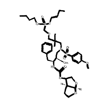 CCCCOP(=O)(COCC(C)(C)CN(C[C@@H](O)[C@H](Cc1ccccc1)NC(=O)OC1CO[C@H]2OCC[C@@H]12)S(=O)(=O)c1ccc(OC)cc1)OCCCC